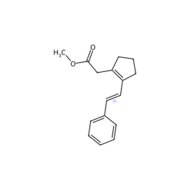 COC(=O)CC1=C(/C=C/c2ccccc2)CCC1